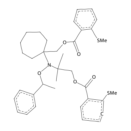 CSc1ccccc1C(=O)OCC(C)(C)N(OC(C)c1ccccc1)C1(COC(=O)c2ccccc2SC)CCCCCC1